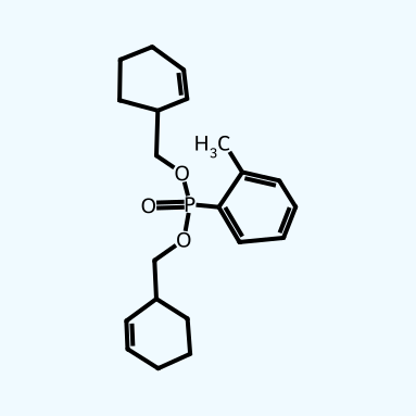 Cc1ccccc1P(=O)(OCC1C=CCCC1)OCC1C=CCCC1